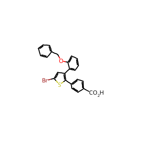 O=C(O)c1ccc(-c2sc(Br)cc2-c2ccccc2OCc2ccccc2)cc1